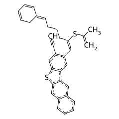 C#Cc1cc2sc3cc4ccccc4cc3c2cc1/C=C(\CCC/C=C1/C=CC=CC1)SC(=C)C